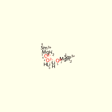 [LiH].[LiH].[MgH2].[MgH2].[O-2].[O-2].[O-2].[Sm+3].[Sm+3]